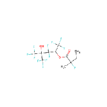 CCC(C)(F)C(=O)OC(C(F)(F)F)C(F)(F)C(O)(C(F)(F)F)C(F)(F)F